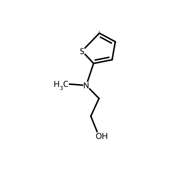 CN(CCO)c1cc[c]s1